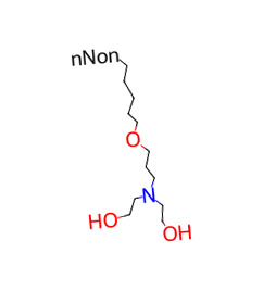 CCCCCCCCCCCCCCOCCCN(CCO)CCO